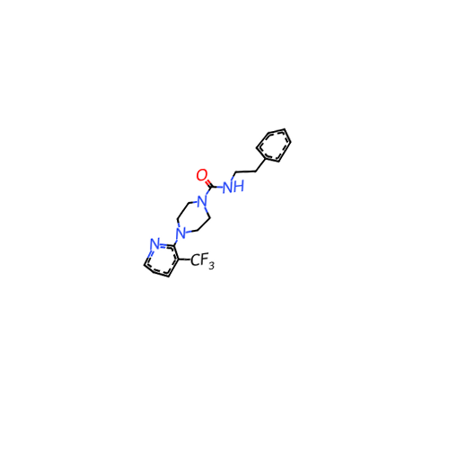 O=C(NCCc1ccccc1)N1CCN(c2ncccc2C(F)(F)F)CC1